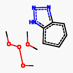 COC.COOOC.c1ccc2[nH]nnc2c1